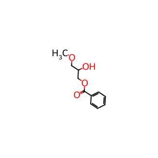 COCC(O)COC(=O)c1ccccc1